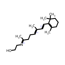 CC1=C(/C=C/C(C)=C/CC/C(C)=N/CCO)C(C)(C)CCC1